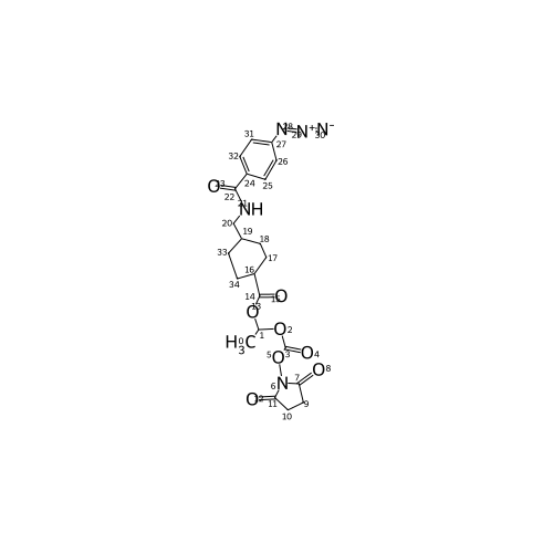 CC(OC(=O)ON1C(=O)CCC1=O)OC(=O)C1CCC(CNC(=O)c2ccc(N=[N+]=[N-])cc2)CC1